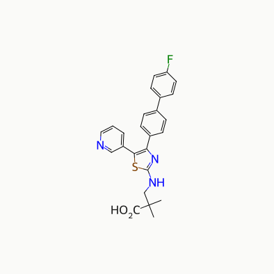 CC(C)(CNc1nc(-c2ccc(-c3ccc(F)cc3)cc2)c(-c2cccnc2)s1)C(=O)O